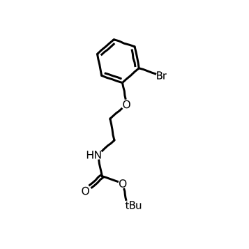 CC(C)(C)OC(=O)NCCOc1ccccc1Br